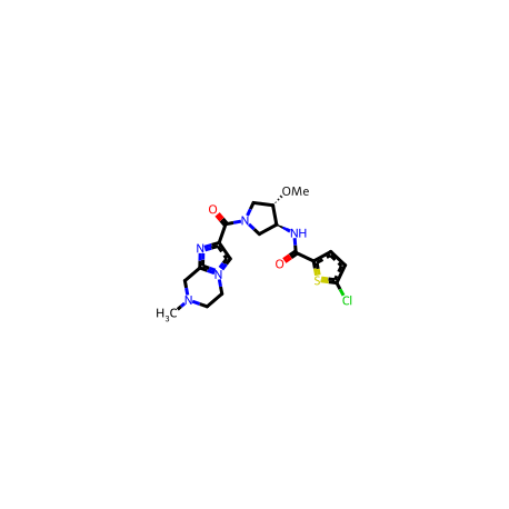 CO[C@H]1CN(C(=O)c2cn3c(n2)CN(C)CC3)C[C@@H]1NC(=O)c1ccc(Cl)s1